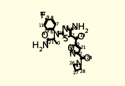 CC(C(N)=O)N(c1ccc(F)cc1)c1nc(N)c(C(=O)c2cc(C(=O)N3CCC3)no2)s1